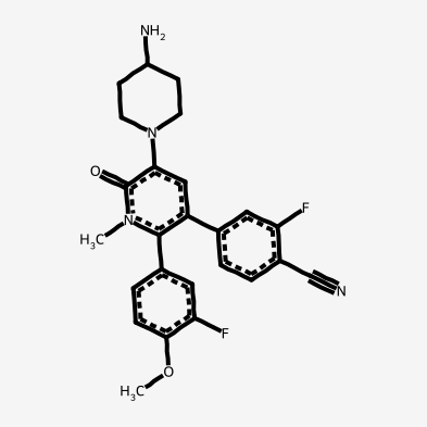 COc1ccc(-c2c(-c3ccc(C#N)c(F)c3)cc(N3CCC(N)CC3)c(=O)n2C)cc1F